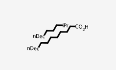 CCCCCCCCCCCCCC(C)C.CCCCCCCCCCCCCCCCCC(=O)O